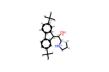 CC(C)(C)c1ccc2c(c1)C([C@@H](O)[C@@H]1CCCN1)c1cc(C(C)(C)C)ccc1-2